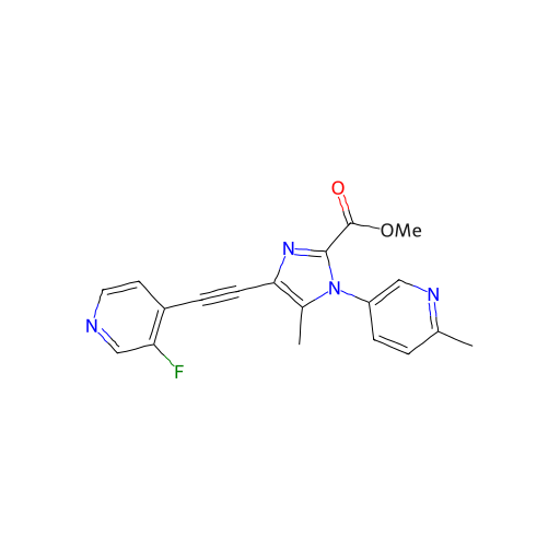 COC(=O)c1nc(C#Cc2ccncc2F)c(C)n1-c1ccc(C)nc1